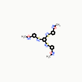 Cc1nnc(-c2cccc(-c3nnc(-c4cc(-c5nnc(-c6cccc(-c7nnc(C)o7)c6)s5)cc(-c5nnc(-c6cccc(-c7nnc(C)o7)c6)s5)c4)s3)c2)o1